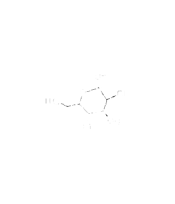 OCC1O[C@H](O)C(O)[C@@H](O)[C@@H]1O